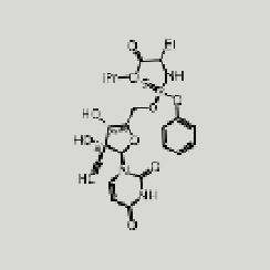 C#C[C@]1(O)C(n2ccc(=O)[nH]c2=O)O[C@H](COP(=S)(NC(CC)C(=O)OC(C)C)Oc2ccccc2)[C@H]1O